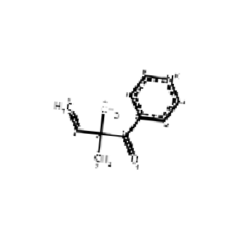 C=CC(C)(C)C(=O)c1ccncc1